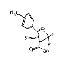 Cc1ccc(C(=O)C(=S)C(C(=O)O)C(F)(F)F)cc1